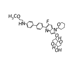 COCCNc1ccc(-c2ccc(-c3nc4cc(O[C@@H]5CO[C@H]6[C@@H]5OC[C@H]6O)n(C5CCCCO5)c4cc3F)cc2)cc1